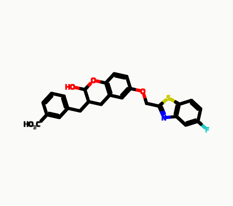 O=C(O)c1cccc(CC2Cc3cc(OCc4nc5cc(F)ccc5s4)ccc3OC2O)c1